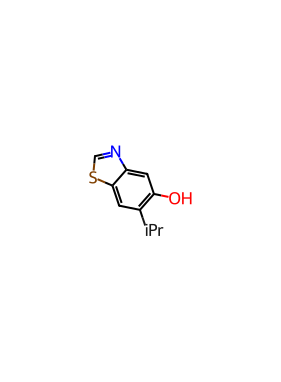 CC(C)c1cc2scnc2cc1O